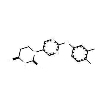 O=C1CCN(c2cnc(Oc3ccc(F)c(F)c3)nc2)C(=O)N1